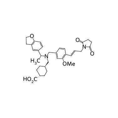 COc1cc(CN(C[C@H]2CC[C@H](C(=O)O)CC2)C(C)c2ccc3c(c2)CCO3)ccc1/C=C/CN1C(=O)CCC1=O